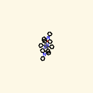 c1ccc(-n2c3ccccc3c3c(N4[Si](c5ccccc5)(c5ccccc5)N(c5cccc6c5c5ccccc5n6-c5ccccc5)[Si]4(c4ccccc4)c4ccccc4)cccc32)cc1